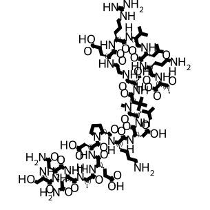 CC(C)C[C@H](NC(=O)[C@@H](NC(=O)[C@H](CCCNC(=N)N)NC(=O)[C@H](CCC(=O)O)NC(=O)CNC(=O)[C@H](CO)NC(=O)[C@@H](N(C)C(=O)[C@H](CC(C)C)NC(=O)[C@H](CC(=O)O)NC(=O)[C@H](CCCCN)NC(=O)[C@@H]1CCCN1C(=O)[C@H](CC(=O)O)NC(=O)[C@H](CCC(=O)O)NC(=O)[C@H](C)NC(=O)[C@H](CC(N)=O)NC(=O)[C@H](CC(N)=O)NC(=O)[C@@H](N)CO)C(C)(C)C)C(C)C)C(=O)N[C@@H](CCC(N)=O)C(=O)N[C@H](C(=O)O)[C@@H](C)O